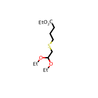 CCOC(=O)CCCSCC(OCC)OCC